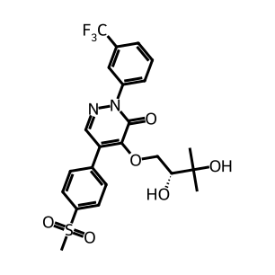 CC(C)(O)[C@H](O)COc1c(-c2ccc(S(C)(=O)=O)cc2)cnn(-c2cccc(C(F)(F)F)c2)c1=O